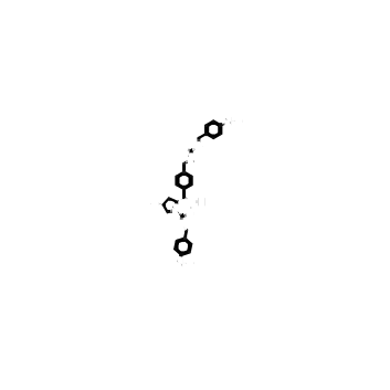 O=C(NCc1ccc(C(O)[C@@H]2C[C@@H](O)CN2C(=O)OCc2ccc([N+](=O)[O-])cc2)cc1)OCc1ccc([N+](=O)[O-])cc1